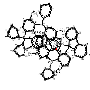 CCc1cc(N(c2ccccc2)c2c(C)ccc(C3(c4ccccc4)c4ccccc4-c4ccccc43)c2C)c2ccc3c(CC)cc(N(c4ccccc4)c4c(C)ccc(C5(c6ccccc6)c6ccccc6-c6ccccc65)c4C)c4ccc1c2c34